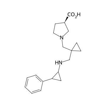 O=C(O)[C@@H]1CCN(CC2(CNC3CC3c3ccccc3)CC2)C1